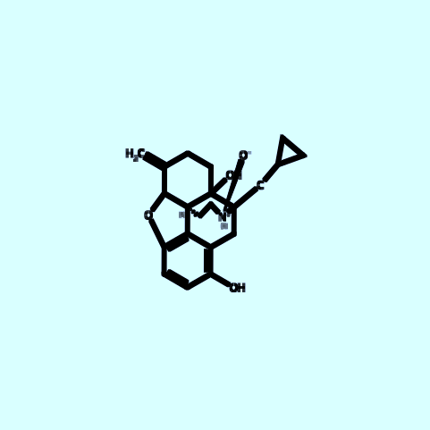 C=C1CCC2(O)C3Cc4c(O)ccc5c4[C@@]2(CC[N@+]3([O-])CC2CC2)C1O5